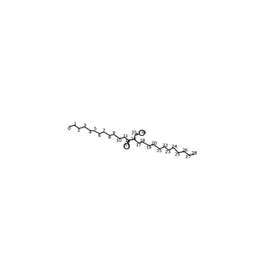 CCCCCCCCCCCCC(=O)C([C]=O)CCCCCCCCCCCC